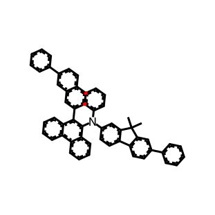 CC1(C)c2cc(-c3ccccc3)ccc2-c2ccc(N(c3ccccc3)c3c(-c4ccc5ccc(-c6ccccc6)cc5c4)c4ccccc4c4ccccc34)cc21